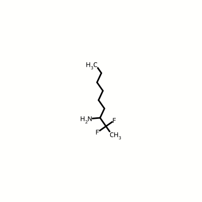 CCCCCCC(N)C(C)(F)F